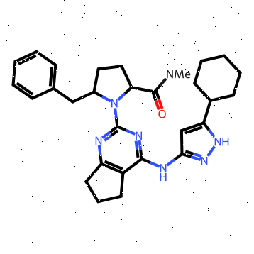 CNC(=O)C1CCC(Cc2ccccc2)N1c1nc2c(c(Nc3cc(C4CCCCC4)[nH]n3)n1)CCC2